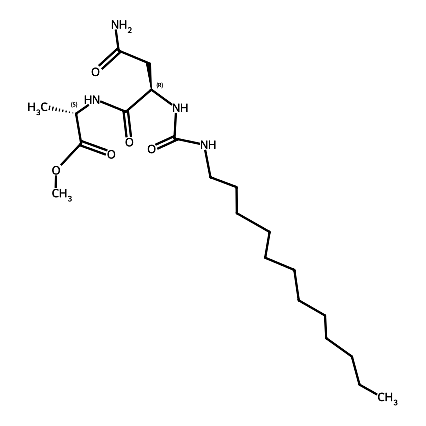 CCCCCCCCCCCCNC(=O)N[C@H](CC(N)=O)C(=O)N[C@@H](C)C(=O)OC